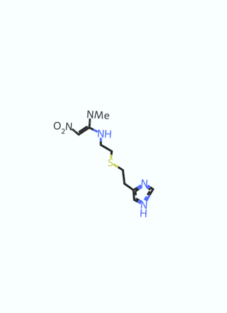 CNC(=C[N+](=O)[O-])NCCSCCc1c[nH]cn1